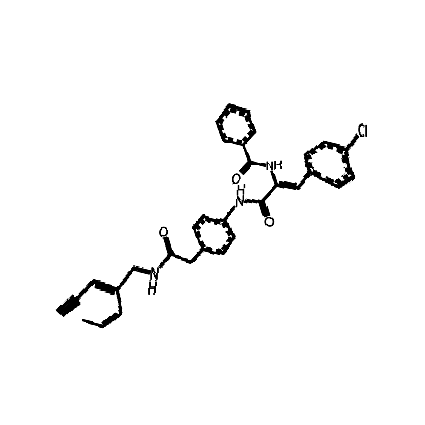 C#C/C=C(\C=C/C)CNC(=O)Cc1ccc(NC(=O)/C(=C/c2ccc(Cl)cc2)NC(=O)c2ccccc2)cc1